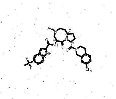 CC(=O)N1CC[C@H]2CC[C@@H](C(=O)N3CCc4ccc(C(F)(F)F)cc4C3)N2C(=O)[C@@H](NC(=O)c2cc3cc(C(C)(F)F)ccc3[nH]2)C1